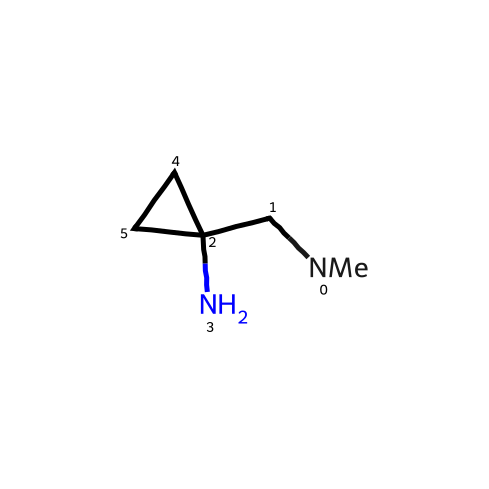 CNCC1(N)CC1